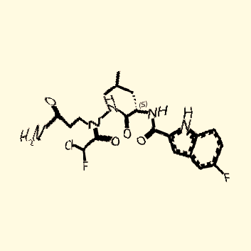 CC(C)C[C@H](NC(=O)c1cc2cc(F)ccc2[nH]1)C(=O)NN(CCC(N)=O)C(=O)C(F)Cl